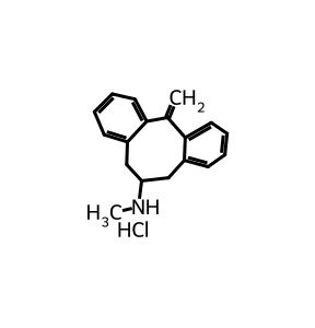 C=C1c2ccccc2CC(NC)Cc2ccccc21.Cl